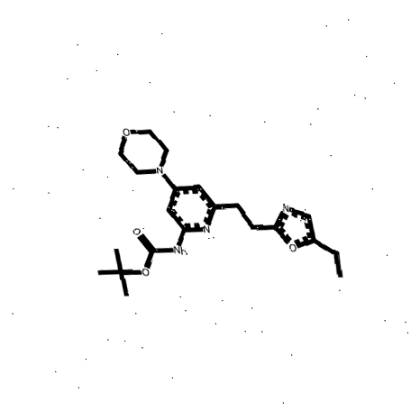 CCc1cnc(CCc2cc(N3CCOCC3)cc(NC(=O)OC(C)(C)C)n2)o1